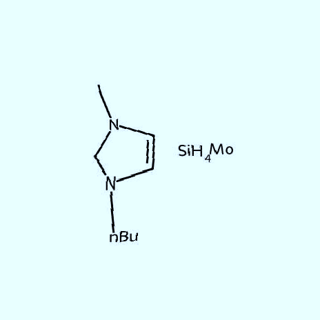 CCCCN1C=CN(C)C1.[Mo].[SiH4]